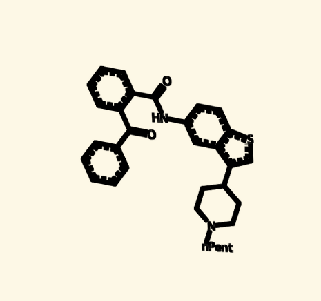 CCCCCN1CCC(c2csc3ccc(NC(=O)c4ccccc4C(=O)c4ccccc4)cc23)CC1